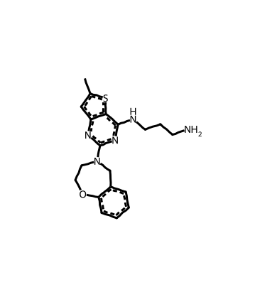 Cc1cc2nc(N3CCOc4ccccc4C3)nc(NCCCN)c2s1